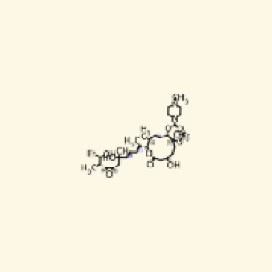 CCO[C@]1(C)CC[C@@H](O)CC(=O)O[C@H](/C(C)=C/C=C/C(C)(O)C[C@H]2O[C@@H]2C(C)C(O)CC)[C@@H](C)/C=C/[C@@H]1OC(=O)N1CCN(C)CC1